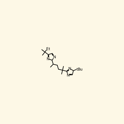 CCC(C)(C)C1=NC(C(C)CCC(C)(C)C2=NC(C(C)(C)C)C=N2)N=C1